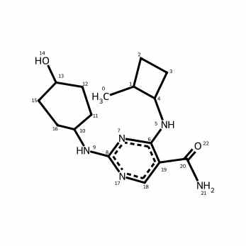 CC1CCC1Nc1nc(NC2CCC(O)CC2)ncc1C(N)=O